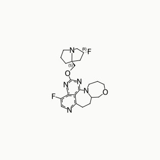 Fc1cnc2c3c(nc(OC[C@@]45CCCN4C[C@H](F)C5)nc13)N1CCCOCC1CC2